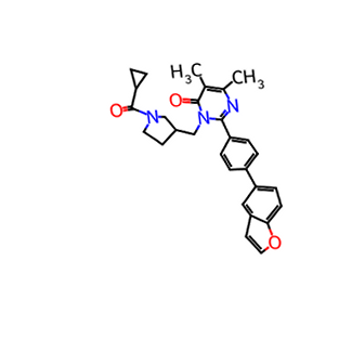 Cc1nc(-c2ccc(-c3ccc4occc4c3)cc2)n(CC2CCN(C(=O)C3CC3)C2)c(=O)c1C